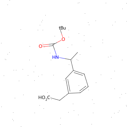 CC(NC(=O)OC(C)(C)C)c1cccc(CC(=O)O)c1